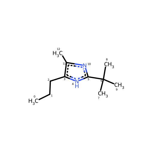 CCCc1[nH]c(C(C)(C)C)nc1C